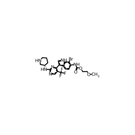 COCCOC(=O)Nc1ccc2c(-c3nc(N[C@H]4CCCNC4)ncc3C(F)(F)F)c[nH]c2c1Br